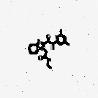 CCOC(=O)Cn1c(C(=O)Nc2cc(C)cc(C)n2)nc2ccccc21